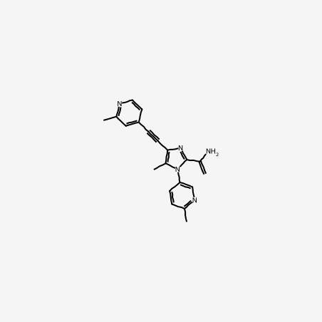 C=C(N)c1nc(C#Cc2ccnc(C)c2)c(C)n1-c1ccc(C)nc1